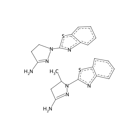 CC1CC(N)=NN1c1nc2ccccc2s1.NC1=NN(c2nc3ccccc3s2)CC1